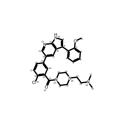 COc1ccccc1-c1c[nH]c2ncc(-c3ccc(Cl)c(C(=O)N4CCN(CCN(C)C)CC4)c3)cc12